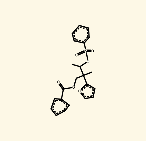 CC(OS(=O)(=O)c1ccccc1)C(C)(COC(=O)c1ccccc1)c1ccco1